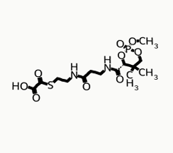 COP1(=O)OCC(C)(C)[C@H](C(=O)NCCC(=O)NCCSC(=O)C(=O)O)O1